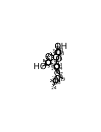 CC1=C(c2ccc(O)cc2Cl)C(c2ccc(OCC(C)N3CCC(C)C3)cc2)Oc2ccc(O)cc21